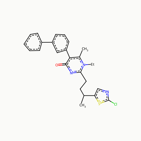 CCn1c(CCC(C)c2cnc(Cl)s2)nc(=O)c(-c2cccc(-c3ccccc3)c2)c1C